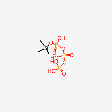 C[Si](C)(C)OP(=O)(O)OP(=O)(O)OP(=O)(O)O